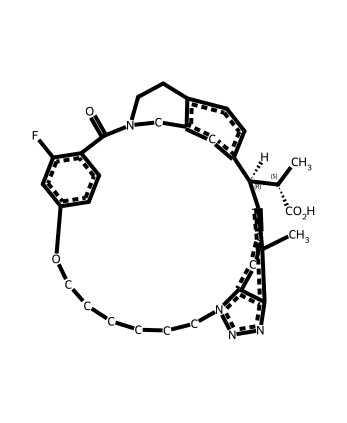 Cc1c2ccc3c1nnn3CCCCCCOc1ccc(c(F)c1)C(=O)N1CCc3ccc(cc3C1)[C@H]2[C@H](C)C(=O)O